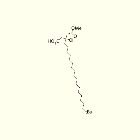 COC(=O)CC(O)(CCCCCCCCCCCCCCCCCC(C)(C)C)CC(=O)O